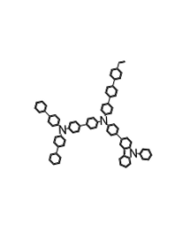 C=Cc1ccc(-c2ccc(-c3ccc(N(c4ccc(-c5ccc(N(c6ccc(-c7ccccc7)cc6)c6ccc(-c7ccccc7)cc6)cc5)cc4)c4ccc(-c5ccc6c(c5)c5ccccc5n6-c5ccccc5)cc4)cc3)cc2)cc1